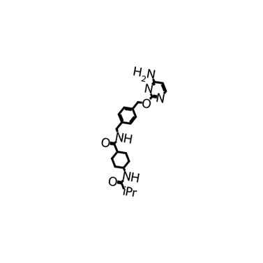 CC(C)C(=O)NC1CCC(C(=O)NCc2ccc(COc3nccc(N)n3)cc2)CC1